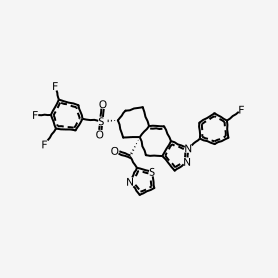 O=C(c1nccs1)[C@@]12Cc3cnn(-c4ccc(F)cc4)c3C=C1CC[C@@H](S(=O)(=O)c1cc(F)c(F)c(F)c1)C2